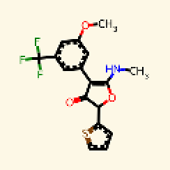 CNC1=C(c2cc(OC)cc(C(F)(F)F)c2)C(=O)C(c2cccs2)O1